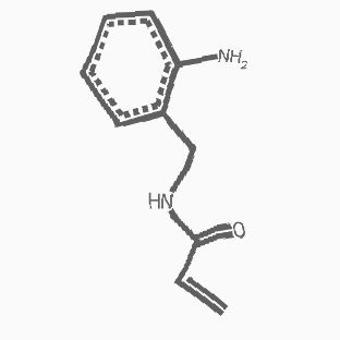 C=CC(=O)NCc1ccccc1N